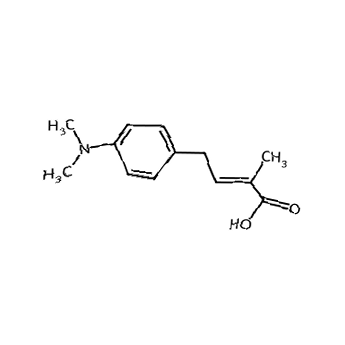 C/C(=C\Cc1ccc(N(C)C)cc1)C(=O)O